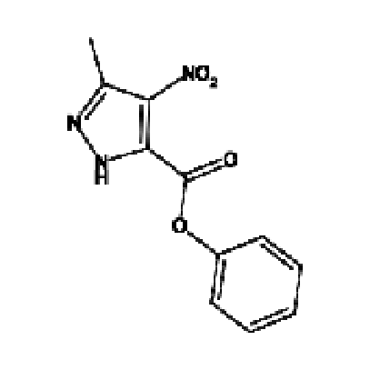 Cc1n[nH]c(C(=O)Oc2ccccc2)c1[N+](=O)[O-]